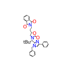 CC(C)(C)[C@H](c1nc(-c2ccccc2)cn1Cc1ccccc1)N1CC(CCN2C(=O)c3ccccc3C2=O)OC1=O